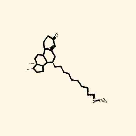 CCCCSCCCCCCCCCC[C@@H]1CC2=CC(=O)CCC2C2CC[C@@]3(C)C(CC[C@@H]3C)C21